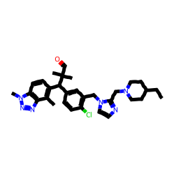 CCC1CCN(Cc2nccn2Cc2cc(C(c3ccc4c(nnn4C)c3C)C(C)(C)C=O)ccc2Cl)CC1